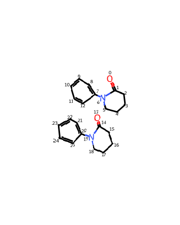 O=C1CCCCN1c1ccccc1.O=C1CCCCN1c1ccccc1